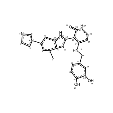 Cc1cc(-n2ccnc2)cc2[nH]c(-c3c(NCc4ccc(O)c(O)c4)cc[nH]c3=O)nc12